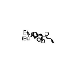 C#CCCC(=O)c1cc2ccc(N(CC)C(C)CC)cc2oc1=O